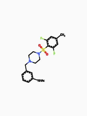 CC(=O)Nc1cccc(CN2CCN(S(=O)(=O)c3c(F)cc(C)cc3F)CC2)c1